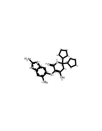 CC(C)(C)c1cc2nc(N)sc2cc1SC1=C(O)CC(C2CCCC2)(C2CCCC2)OC1=O